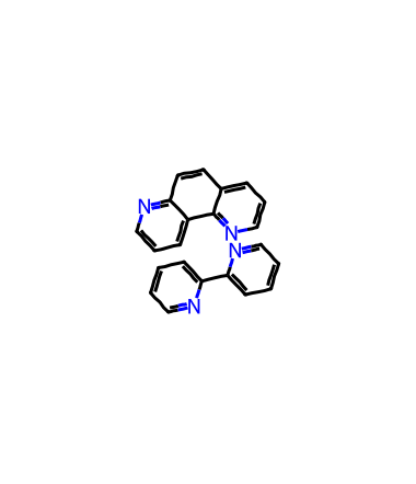 c1ccc(-c2ccccn2)nc1.c1cnc2c(c1)ccc1ncccc12